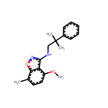 COc1ccc(C)c2onc(NCC(C)(C)c3ccccc3)c12